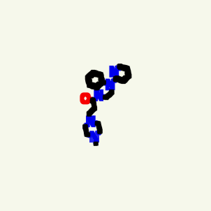 CN1CCN(CCC(=O)N2CCN(c3ccccn3)c3ccccc32)CC1